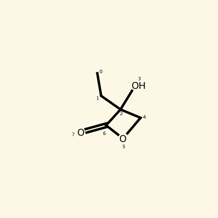 CCC1(O)COC1=O